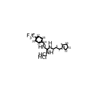 Cl.Cl.N=C(NCCCN1CCCC1)NCc1ccc(C(F)(F)F)cc1